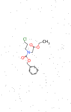 CCOC(=O)CN(CCCCl)C(=O)OCc1ccccc1